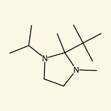 CC(C)N1CCN(C)C1(C)C(C)(C)C